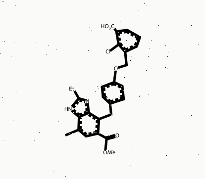 CCc1nc2c(Cc3ccc(OCc4cccc(C(=O)O)c4Cl)cc3)c(C(=O)OC)cc(C)c2[nH]1